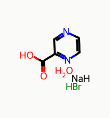 Br.O.O=C(O)c1cnccn1.[NaH]